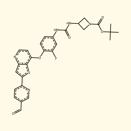 CC(C)(C)OC(=O)N1CC(NC(=O)Nc2ccc(Oc3ccnc4cc(-c5ccc(C=O)cn5)sc34)c(F)c2)C1